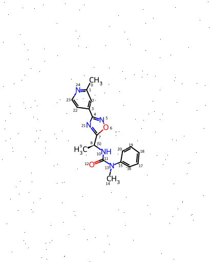 Cc1cc(-c2noc([C@H](C)NC(=O)N(C)c3ccccc3)n2)ccn1